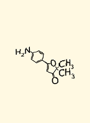 CC1(C)OC(c2ccc(N)cc2)=CC1=O